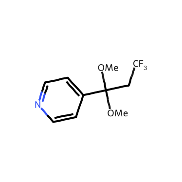 COC(CC(F)(F)F)(OC)c1ccncc1